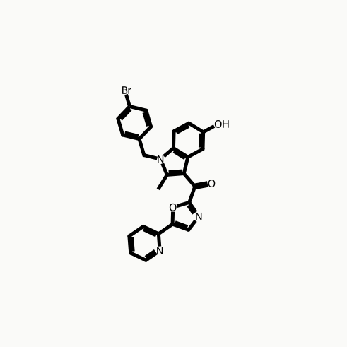 Cc1c(C(=O)c2ncc(-c3ccccn3)o2)c2cc(O)ccc2n1Cc1ccc(Br)cc1